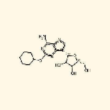 Nc1nc(OC2CCCCC2)nc2c1ncn2[C@@H]1O[C@H](CO)C(O)C1O